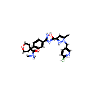 Cc1cc(-c2nc(-c3ccc(C4(C(=O)N(C)C)CCOCC4)cc3)no2)nn1Cc1ccc(Cl)nc1